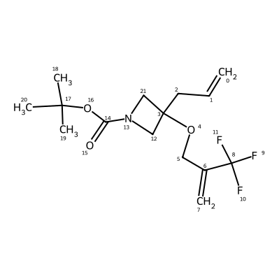 C=CCC1(OCC(=C)C(F)(F)F)CN(C(=O)OC(C)(C)C)C1